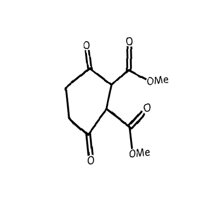 COC(=O)C1C(=O)CCC(=O)C1C(=O)OC